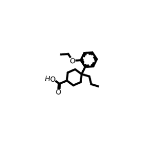 CCCC1(c2ccccc2OCC)CCC(C(=O)O)CC1